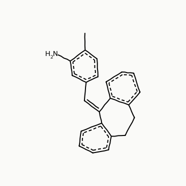 Cc1ccc(C=C2c3ccccc3CCc3ccccc32)cc1N